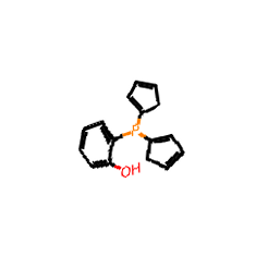 Oc1ccccc1P(C1=CC=CC1)C1=CC=CC1